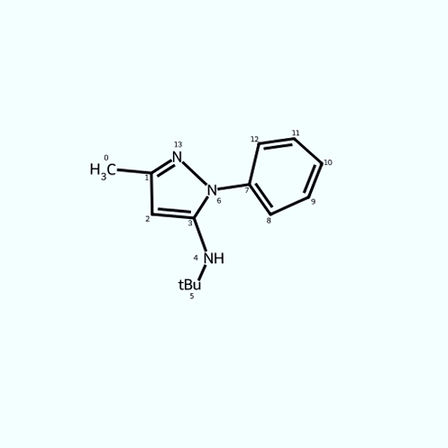 Cc1cc(NC(C)(C)C)n(-c2ccccc2)n1